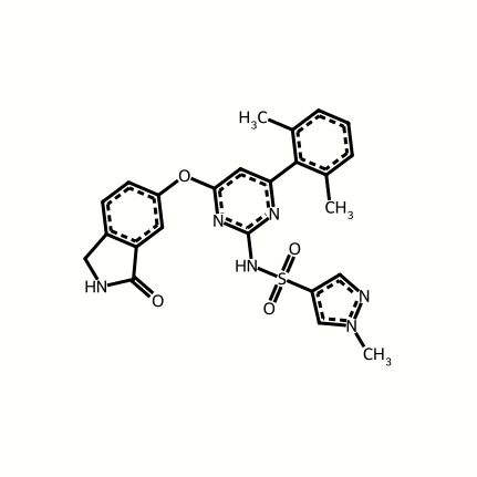 Cc1cccc(C)c1-c1cc(Oc2ccc3c(c2)C(=O)NC3)nc(NS(=O)(=O)c2cnn(C)c2)n1